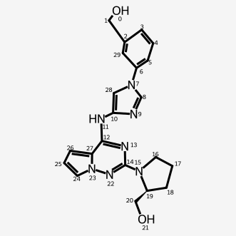 OCc1cccc(-n2cnc(Nc3nc(N4CCC[C@H]4CO)nn4cccc34)c2)c1